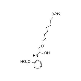 CCCCCCCCCCCCCCCCCCOC[C@H](CO)Nc1ccccc1C(=O)O